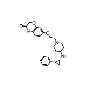 O=C1COc2cc(OCCN3CCC(N[C@@H]4CC4c4ccccc4)CC3)ccc2N1